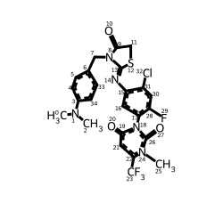 CN(C)c1ccc(CN2C(=O)CS/C2=N\c2cc(-n3c(=O)cc(C(F)(F)F)n(C)c3=O)c(F)cc2Cl)cc1